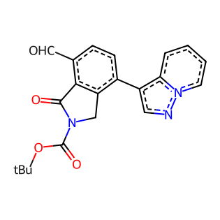 CC(C)(C)OC(=O)N1Cc2c(-c3cnn4ccccc34)ccc(C=O)c2C1=O